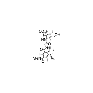 CNC(=O)c1c(I)c(C(=O)C(N)CC(=O)Nc2c(I)c(CO)c(I)c(C(=O)O)c2I)c(I)c(N(C)C(C)=O)c1I